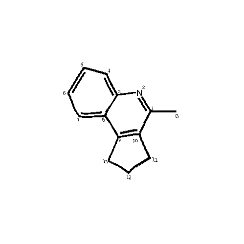 Cc1nc2ccccc2c2c1CCC2